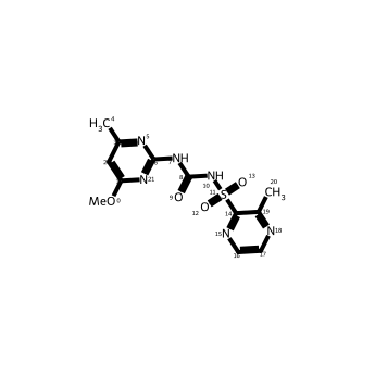 COc1cc(C)nc(NC(=O)NS(=O)(=O)c2nccnc2C)n1